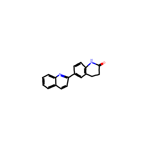 O=C1CCc2cc(-c3ccc4ccccc4n3)ccc2N1